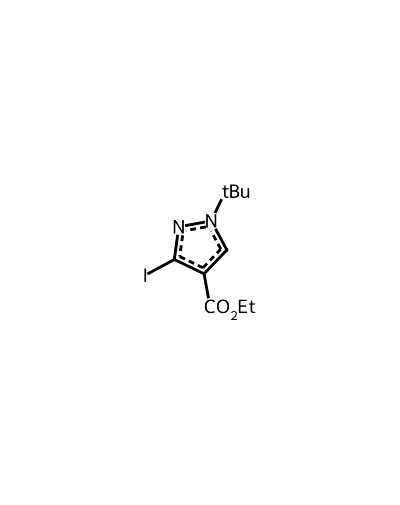 CCOC(=O)c1cn(C(C)(C)C)nc1I